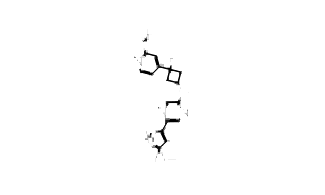 CCOc1cc(C2(F)CC(Oc3cnc(-c4cc(O)no4)cn3)C2)ccn1